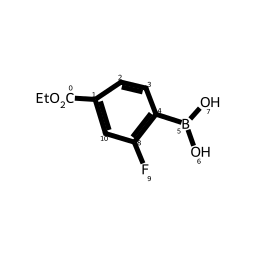 CCOC(=O)c1ccc(B(O)O)c(F)c1